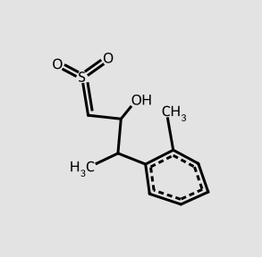 Cc1ccccc1C(C)C(O)C=S(=O)=O